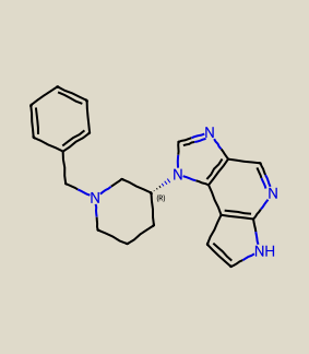 c1ccc(CN2CCC[C@@H](n3cnc4cnc5[nH]ccc5c43)C2)cc1